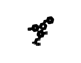 C[C@H](O)COc1ccc(N2CCN(Cc3ccccc3)C[C@H]2c2ccc(Cl)cc2)c(Cl)c1